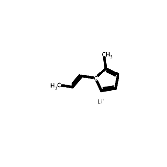 CC=C[c-]1cccc1C.[Li+]